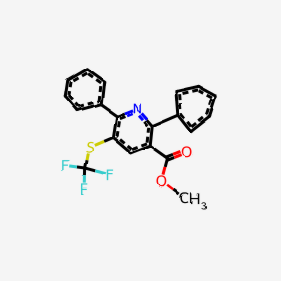 COC(=O)c1cc(SC(F)(F)F)c(-c2ccccc2)nc1-c1ccccc1